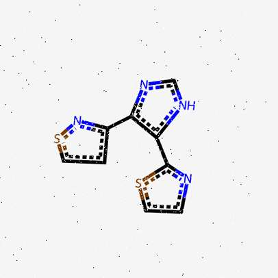 [c]1nc(-c2ccsn2)c(-c2nccs2)[nH]1